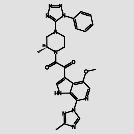 COc1cnc(-n2cnc(C)n2)c2[nH]cc(C(=O)C(=O)N3CCN(c4nnnn4-c4ccccc4)C[C@H]3C)c12